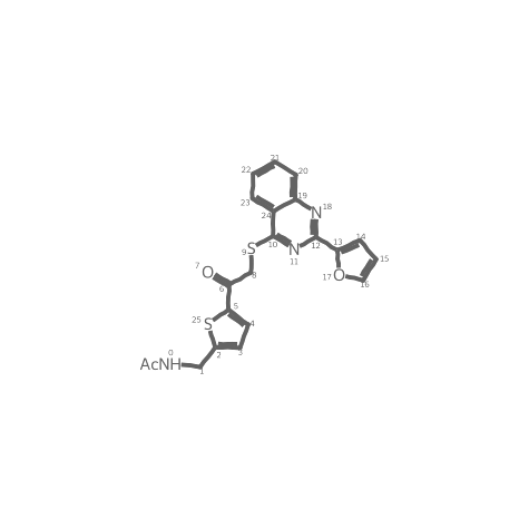 CC(=O)NCc1ccc(C(=O)CSc2nc(-c3ccco3)nc3ccccc23)s1